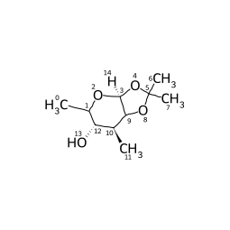 CC1O[C@H]2OC(C)(C)OC2[C@@H](C)[C@@H]1O